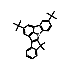 CC(C)(C)c1ccc2c(c1)-c1cc(C(C)(C)C)cc3c1B2C1=C3c2ccccc2C1(C)C